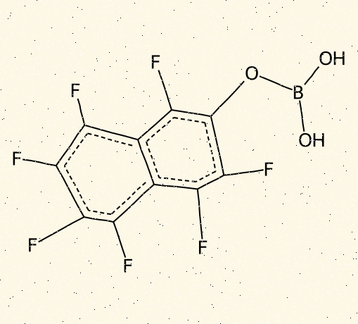 OB(O)Oc1c(F)c(F)c2c(F)c(F)c(F)c(F)c2c1F